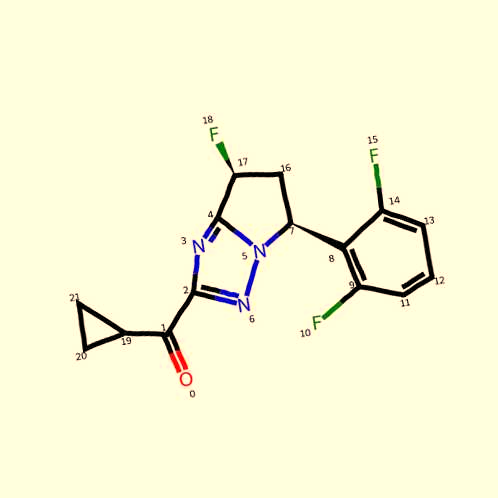 O=C(c1nc2n(n1)[C@H](c1c(F)cccc1F)C[C@@H]2F)C1CC1